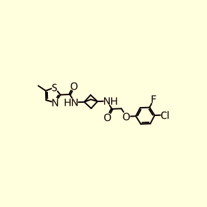 Cc1cnc(C(=O)NC23CC(NC(=O)COc4ccc(Cl)c(F)c4)(C2)C3)s1